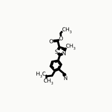 CCOC(=O)c1sc(-c2ccc(CC(C)C)c(C#N)c2)nc1C